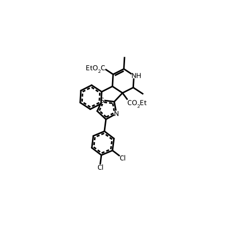 CCOC(=O)C1=C(C)NC(C)C(C(=O)OCC)(c2nc(-c3ccc(Cl)c(Cl)c3)cs2)C1c1ccccc1